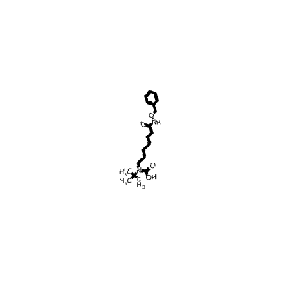 CC(C)(C)N(CCCCCCC(=O)NOCc1ccccc1)C(=O)O